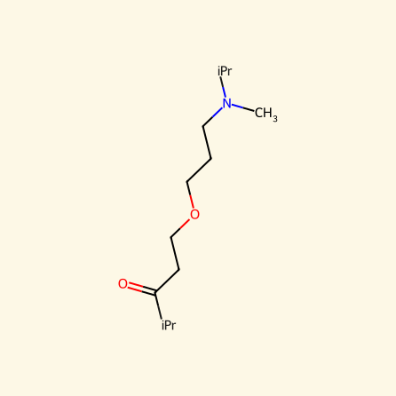 CC(C)C(=O)CCOCCCN(C)C(C)C